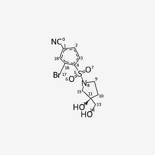 N#Cc1ccc(S(=O)(=O)N2CC[C@](O)(CO)C2)c(Br)c1